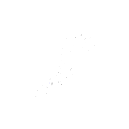 O=C(O)c1ccc2c(c1)C(SCCN1CCN(S(=O)(=O)/C=C/c3ccccc3)CC1)c1ccccc1CO2